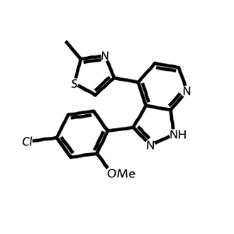 COc1cc(Cl)ccc1-c1n[nH]c2nccc(-c3csc(C)n3)c12